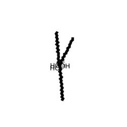 CCCCCCCCCCCCCCCCCCC(O)C(O)C(O)(CCCCCCCCCCCCCCCCCC)C(=S)CCCCCCCCCCCCCCC